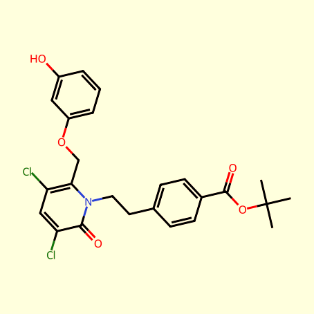 CC(C)(C)OC(=O)c1ccc(CCn2c(COc3cccc(O)c3)c(Cl)cc(Cl)c2=O)cc1